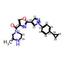 C[C@H]1CN(C(=O)c2coc(-c3cnn(-c4ccc(C5CC5)cc4)c3)n2)CCN1